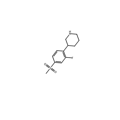 CS(=O)(=O)c1ccc(C2[CH]CCNC2)c(F)c1